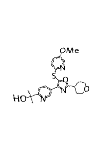 COc1ccc(Sc2oc(C3CCOCC3)nc2-c2ccc(C(C)(C)O)nc2)nc1